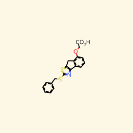 O=C(O)COc1cccc2c1Cc1sc(SCc3ccccc3)nc1-2